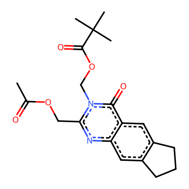 CC(=O)OCc1nc2cc3c(cc2c(=O)n1COC(=O)C(C)(C)C)CCC3